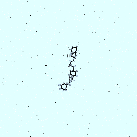 CN(CCc1nc2ccccc2[nH]1)Cc1ccc(CNCc2ccccn2)cc1